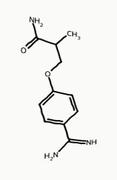 CC(COc1ccc(C(=N)N)cc1)C(N)=O